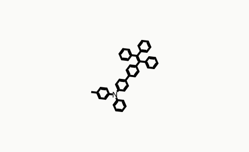 Cc1ccc(N(c2ccccc2)c2ccc(-c3ccc(C(=C(c4ccccc4)c4ccccc4)c4ccccc4)cc3)cc2)cc1